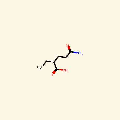 CC[C@@H](CCC(N)=O)C(=O)O